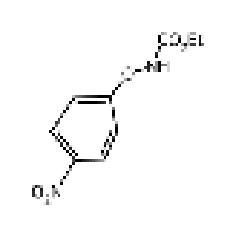 CCOC(=O)NOc1ccc([N+](=O)[O-])cc1